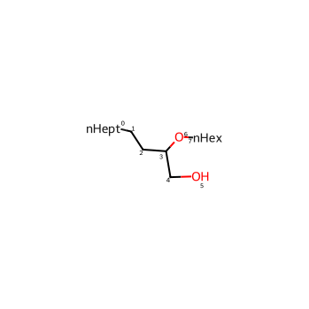 CCCCCCCCCC(CO)OCCCCCC